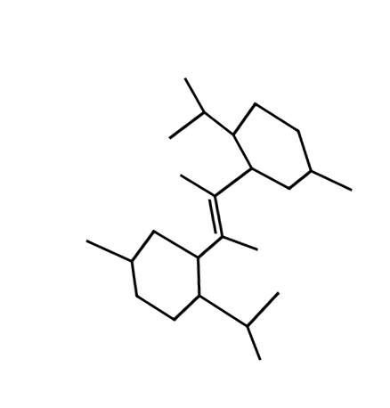 CC(=C(C)C1CC(C)CCC1C(C)C)C1CC(C)CCC1C(C)C